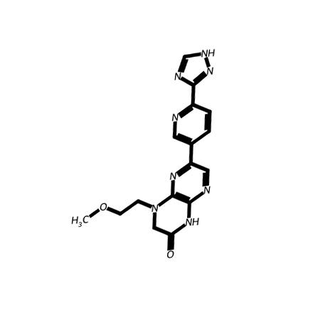 COCCN1CC(=O)Nc2ncc(-c3ccc(-c4nc[nH]n4)nc3)nc21